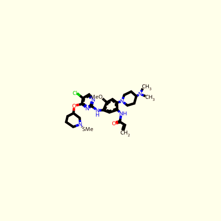 C=CC(=O)Nc1cc(Nc2ncc(Cl)c(OC3CCCN(SC)C3)n2)c(OC)cc1N1CCC(N(C)C)CC1